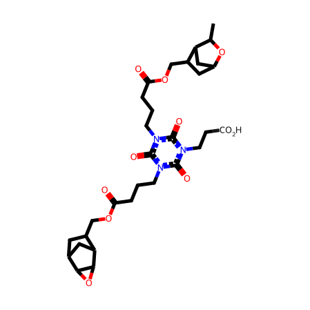 CC1OC2CC(COC(=O)CCCn3c(=O)n(CCCC(=O)OCC4CC5CC4C4OC54)c(=O)n(CCC(=O)O)c3=O)C1C2